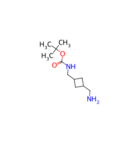 CC(C)(C)OC(=O)NCC1CC(CN)C1